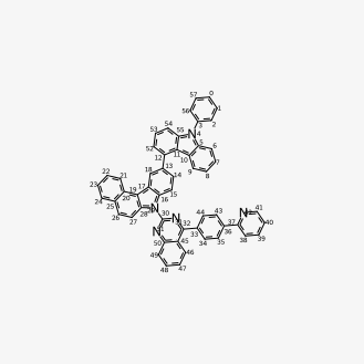 c1ccc(-n2c3ccccc3c3c(-c4ccc5c(c4)c4c6ccccc6ccc4n5-c4nc(-c5ccc(-c6ccccn6)cc5)c5ccccc5n4)cccc32)cc1